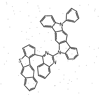 c1ccc(-n2c3ccccc3c3cc4c(cc32)c2ccccc2n4-c2nc(-c3cccc4sc5cc6ccccc6cc5c34)c3ccccc3n2)cc1